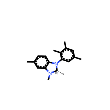 Cc1ccc2c(c1)N(C)[C@@H](C)N2c1cc(C)cc(C)c1C